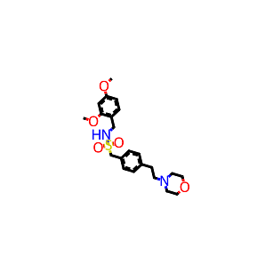 COc1ccc(CNS(=O)(=O)Cc2ccc(CCN3CCOCC3)cc2)c(OC)c1